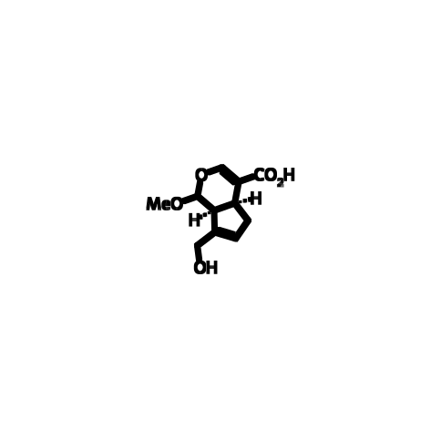 COC1OC=C(C(=O)O)[C@H]2CC=C(CO)[C@@H]12